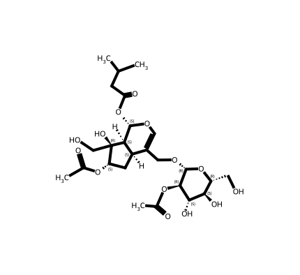 CC(=O)O[C@H]1[C@H](OCC2=CO[C@@H](OC(=O)CC(C)C)[C@H]3[C@@H]2C[C@H](OC(C)=O)[C@]3(O)CO)O[C@H](CO)[C@@H](O)[C@@H]1O